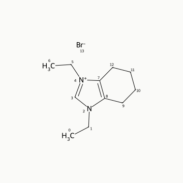 CCn1c[n+](CC)c2c1CCCC2.[Br-]